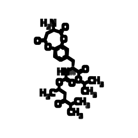 CC(C)OC(=O)[C@H](Cc1ccc2c(c1)OC(=O)C(N)CC(=O)O2)NC(=O)OC(C)CC(=O)C(C)C